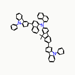 CC1(C)c2cc(-c3ccc4c5ccccc5n(-c5ccccc5)c4c3)ccc2-c2ccc(N(c3cccc4ccccc34)c3ccc(-c4ccc5c(c4)c4ccccc4n5-c4ccccc4)c4ccccc34)cc21